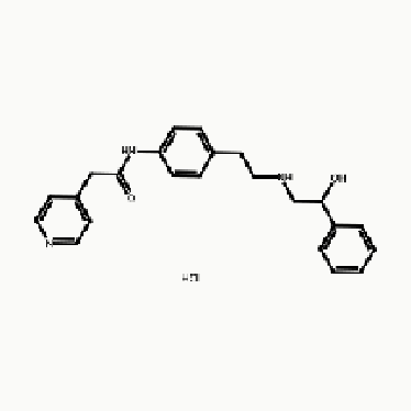 Cl.O=C(Cc1ccncc1)Nc1ccc(CCNCC(O)c2ccccc2)cc1